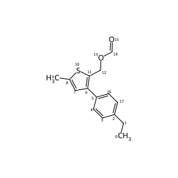 CCc1ccc(-c2cc(C)sc2COC=O)cc1